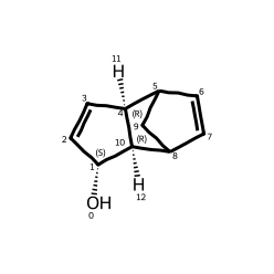 O[C@@H]1C=C[C@H]2C3C=CC(C3)[C@@H]12